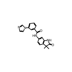 CC1(C)C(=O)Nc2cc(NC(=O)c3cccc(-n4ccnc4)c3)ccc21